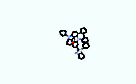 C1=CC2=C(CC1)c1ccccc1C1C=CC3[C@@H](c4ccccc4N3c3ccccc3)C1N2c1cccc(C2Nc3ccccc3N2c2ccccc2)c1